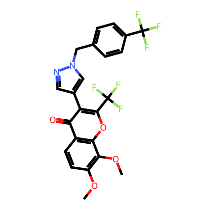 COc1ccc2c(=O)c(-c3cnn(Cc4ccc(C(F)(F)F)cc4)c3)c(C(F)(F)F)oc2c1OC